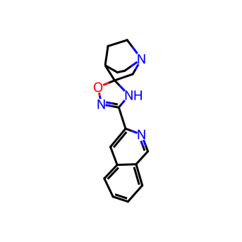 c1ccc2cc(C3=NOC4(CN5CCC4CC5)N3)ncc2c1